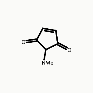 CNC1C(=O)C=CC1=O